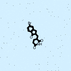 O=C1CCC(CC2Cc3cc(Br)ccc3C2=O)C(=O)N1